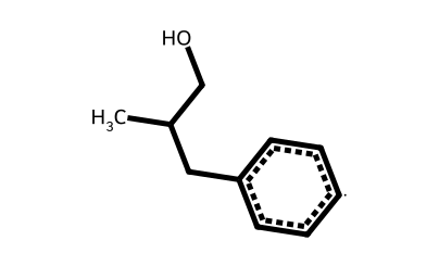 CC(CO)Cc1cc[c]cc1